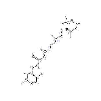 CC1=C(/C=C/C(C)=C/C=C/C(C)=C/C(=O)OCc2cc(C)ccc2C)C(C)(C)CCC1